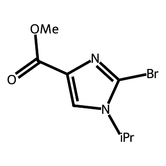 COC(=O)c1cn(C(C)C)c(Br)n1